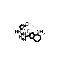 Cn1ccc(Nc2ncnc(-c3cc4c(cc3F)C(N)CCCC4)n2)n1